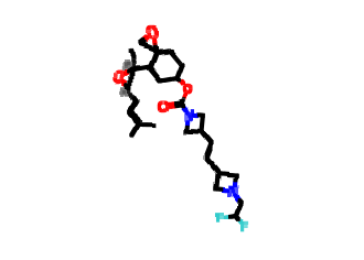 CC(C)=CC[C@H]1O[C@]1(C)C1CC(OC(=O)N2CC(CCC3CN(CC(F)F)C3)C2)CCC12CO2